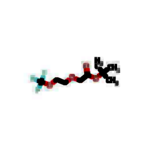 CC(C)(C)OC(=O)COCCOC(F)(F)F